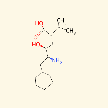 CC(C)[C@H](C[C@H](O)[C@@H](N)CC1CCCCC1)C(=O)O